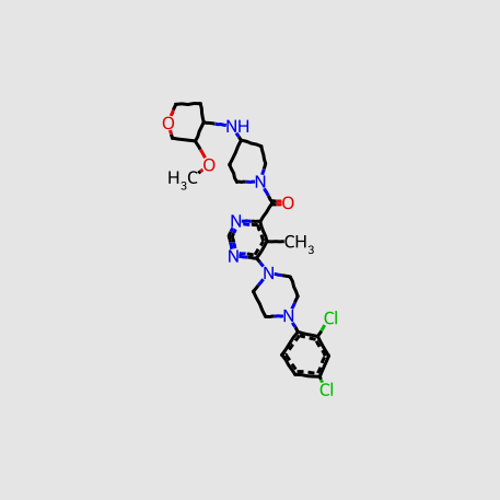 COC1COCCC1NC1CCN(C(=O)c2ncnc(N3CCN(c4ccc(Cl)cc4Cl)CC3)c2C)CC1